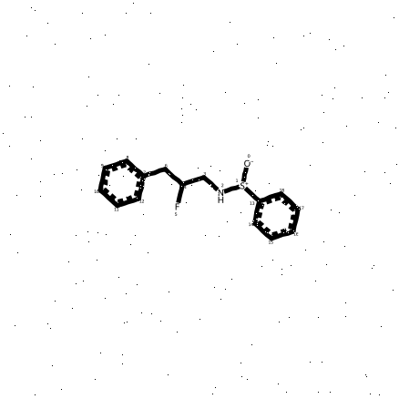 [O-][S+](NCC(F)Cc1ccccc1)c1ccccc1